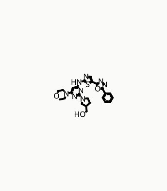 OCC1CCN(c2nc(Nc3ncc(-c4nnc(-c5ccccc5)o4)s3)cc(N3CCOCC3)n2)C1